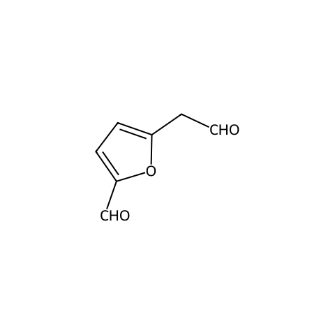 O=CCc1ccc(C=O)o1